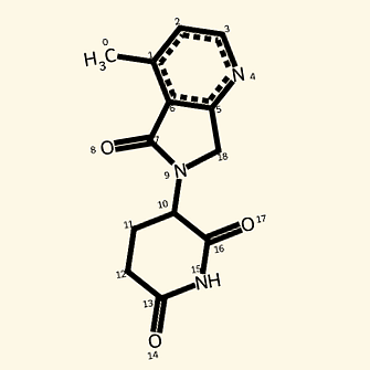 Cc1ccnc2c1C(=O)N(C1CCC(=O)NC1=O)C2